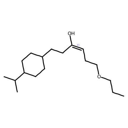 CCCOCC/C=C(/O)CCC1CCC(C(C)C)CC1